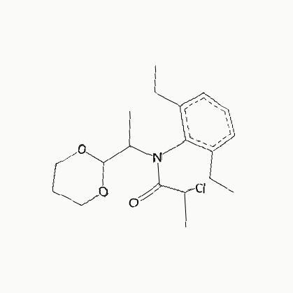 CCc1cccc(CC)c1N(C(=O)C(C)Cl)C(C)C1OCCCO1